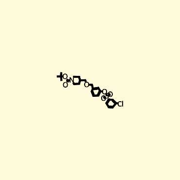 CC(C)(C)OC(=O)N1CCC(COCc2cccc(OS(=O)(=O)c3cccc(Cl)c3)c2)CC1